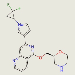 FC1(F)CC1n1ccc(-c2cc3ncccc3c(OC[C@@H]3CNCCO3)n2)c1